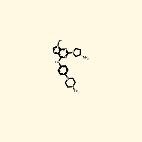 CC(C)n1cnc2c(Nc3ccc(N4CCN(C)CC4)cc3)nc(N3CC[C@H](N)C3)nc21